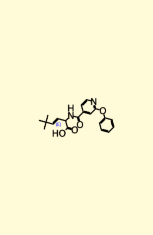 CC(C)(C)/C=C/C(NC(=O)c1ccnc(Oc2ccccc2)c1)C(=O)O